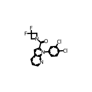 O=C(c1cc2cccnc2n1-c1ccc(Cl)c(Cl)c1)N1CC(F)(F)C1